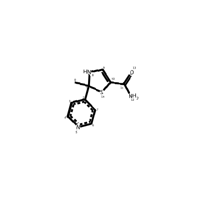 CC1(c2ccncc2)NC=C(C(N)=O)S1